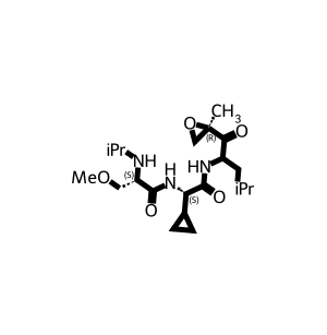 COC[C@H](NC(C)C)C(=O)N[C@H](C(=O)NC(CC(C)C)C(=O)[C@@]1(C)CO1)C1CC1